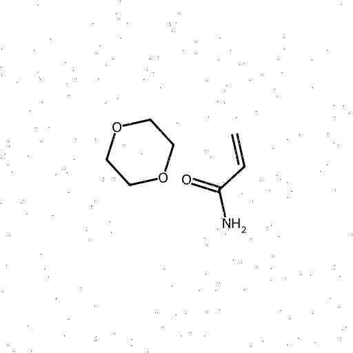 C1COCCO1.C=CC(N)=O